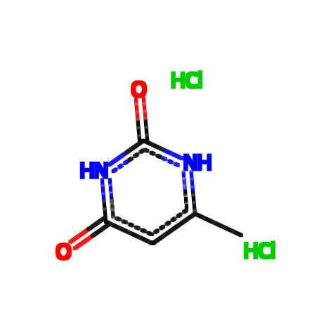 Cc1cc(=O)[nH]c(=O)[nH]1.Cl.Cl